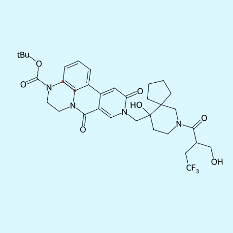 CC(C)(C)OC(=O)N1CCN(C(=O)c2cn(CC3(O)CCN(C(=O)C(CO)CC(F)(F)F)CC34CCCC4)c(=O)cc2-c2ccccc2)CC1